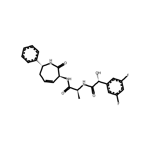 C[C@H](NC(=O)[C@H](O)c1cc(F)cc(F)c1)C(=O)N[C@H]1C=CC[C@H](c2ccccc2)NC1=O